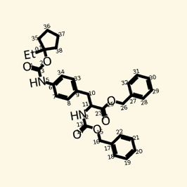 CCC1(OC(=O)Nc2ccc(CC(NC(=O)OCc3ccccc3)C(=O)OCc3ccccc3)cc2)CCCC1